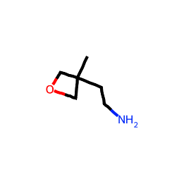 CC1(CCN)COC1